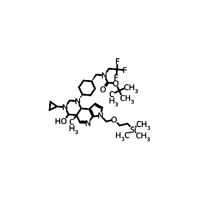 CC(C)(C)OC(=O)N(CC(F)(F)F)C[C@H]1CC[C@H](N2CN(C3CC3)C(O)C3(C)C=Nc4c(ccn4COCC[Si](C)(C)C)C23)CC1